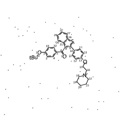 CC(C)(C)Oc1ccc(C(=O)c2c(-c3ccc(OCCN4CCCCC4)cc3)sc3ccccc23)cc1